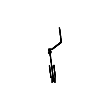 CCSC#N